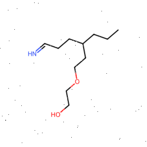 CCCC(CCC=N)CCOCCO